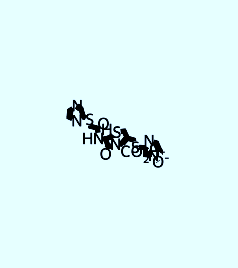 O=C(CSc1cnccn1)NC1C(=O)N2C(C(=O)O)=C(CSc3c[n+]([O-])ccn3)CS[C@@H]12